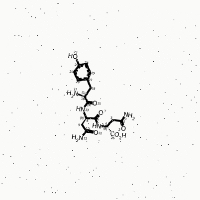 NC(=O)C[C@@H](NC(=O)[C@@H](CC(N)=O)NC(=O)[C@@H](N)Cc1ccc(O)cc1)C(=O)O